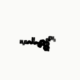 CCCCNCCn1ccc2c(-c3ccncc3)c(C(=O)OCC)ccc21